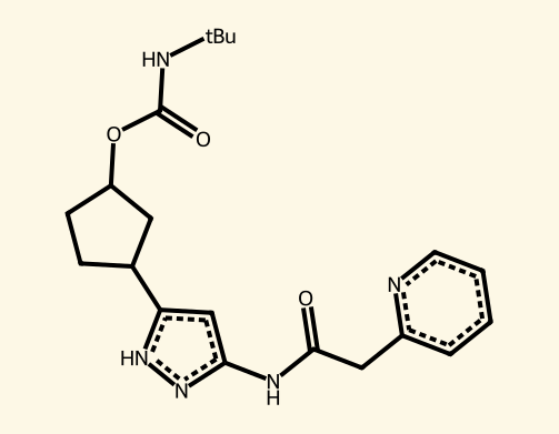 CC(C)(C)NC(=O)OC1CCC(c2cc(NC(=O)Cc3ccccn3)n[nH]2)C1